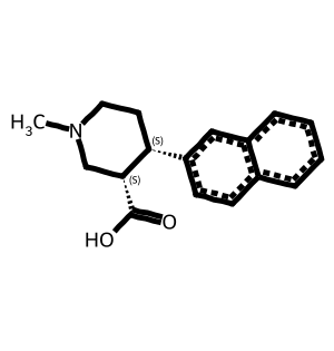 CN1CC[C@H](c2ccc3ccccc3c2)[C@H](C(=O)O)C1